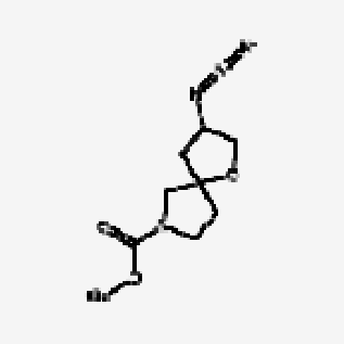 CC(C)(C)OC(=O)N1CCC2(CC(N=[N+]=[N-])CO2)C1